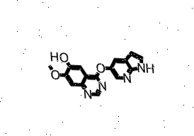 COc1cc2ncnc(Oc3cnc4[nH]ccc4c3)c2cc1O